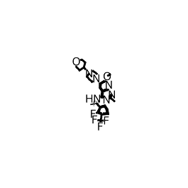 COc1nc2nc(C)nc(N[C@H](C)c3cccc(C(F)(F)F)c3F)c2cc1N1CCN(C2CCOCC2)CC1